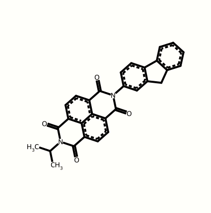 CC(C)N1C(=O)c2ccc3c4c(ccc(c24)C1=O)C(=O)N(c1ccc2c(c1)Cc1ccccc1-2)C3=O